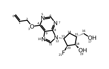 C=CCOc1ncnc2c1ncn2[C@@H]1C[C@H](CO)[C@@H](O)[C@H]1F